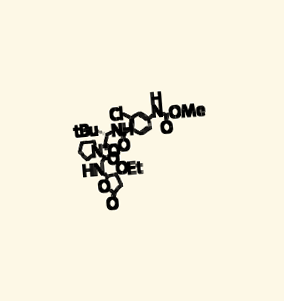 CCO[C@H]1CC(=O)O[C@H]1NC(=O)[N+]1(C(=O)[C@@H](NC(=O)c2ccc(NC(=O)OC)cc2Cl)C(C)(C)C)CCCC1